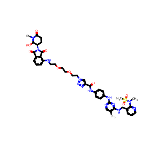 CCN1C(=O)CCC(N2C(=O)c3cccc(NCCOCCOCCn4cc(C(=O)Nc5ccc(Nc6ncc(C(F)(F)F)c(NCc7cccnc7N(C)S(C)(=O)=O)n6)cc5)nn4)c3C2=O)C1O